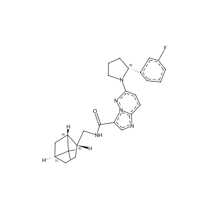 CC1(C)[C@H]2CC[C@@H](CNC(=O)c3cnc4ccc(N5CCC[C@@H]5c5cccc(F)c5)nn34)[C@H]1C2